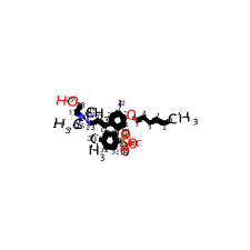 CCCCCCOc1ccc(CCC[N+](C)(C)CCO)cc1I.Cc1ccc(S(=O)(=O)[O-])cc1